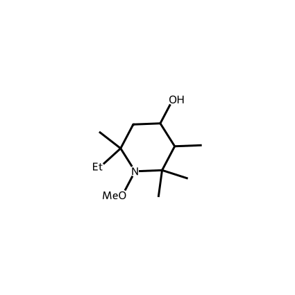 CCC1(C)CC(O)C(C)C(C)(C)N1OC